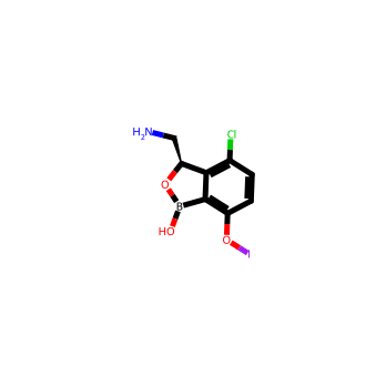 NC[C@@H]1OB(O)c2c(OI)ccc(Cl)c21